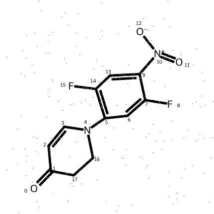 O=C1C=CN(c2cc(F)c([N+](=O)[O-])cc2F)CC1